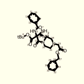 CC(C)(C)OC(=O)C(NC(=O)c1ccccc1)(C(=N)N)C(=O)N1CCN(CC(=O)OCc2ccccc2)CC1